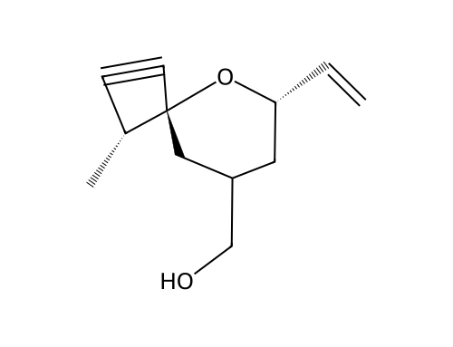 C=C[C@@H]1CC(CO)C[C@@]2(C#C[C@H]2C)O1